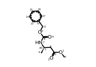 COC(=O)C[C@@H](C)NC(=O)OCc1ccccc1